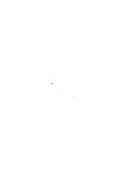 CCOC(=O)CCN(CCSc1ccnc(CSc2nc3ccccc3[nH]2)c1C)CCC(=O)OCC